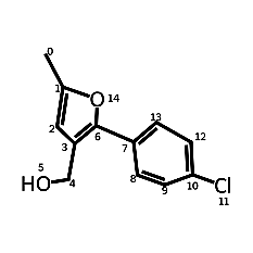 Cc1cc(CO)c(-c2ccc(Cl)cc2)o1